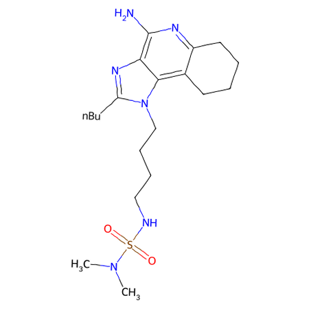 CCCCc1nc2c(N)nc3c(c2n1CCCCNS(=O)(=O)N(C)C)CCCC3